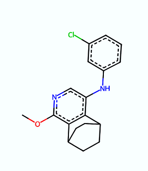 COc1ncc(Nc2cccc(Cl)c2)c2c1C1CCC2CC1